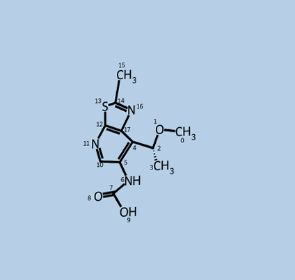 CO[C@H](C)c1c(NC(=O)O)cnc2sc(C)nc12